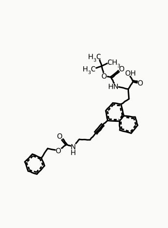 CC(C)(C)OC(=O)NC(Cc1ccc(C#CCCNC(=O)OCc2ccccc2)c2ccccc12)C(=O)O